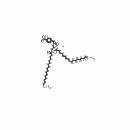 CCCCCCCCC=CCCCCCCCC(=O)OCC(CN(C)Cc1ccc(C(=O)O)cc1)OC(=O)CCCCCCC/C=C\CCCCCCCC